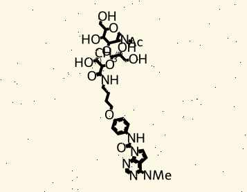 CNc1ncnc2c1ccn2C(=O)Nc1ccc(OCCCCNC(=O)C(OC(OC2C(O)C(CO)OC3C2N3C(C)=O)[C@@H](O)CO)[C@H](C)O)cc1